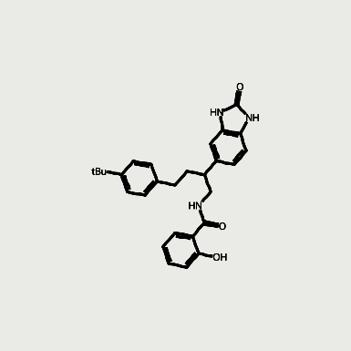 CC(C)(C)c1ccc(CCC(CNC(=O)c2ccccc2O)c2ccc3[nH]c(=O)[nH]c3c2)cc1